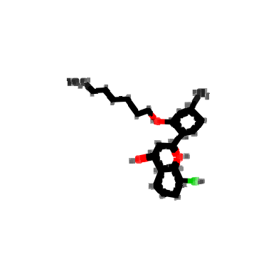 O=C(O)CCCCCCOc1cc(C(F)(F)F)ccc1-c1cc(=O)c2cccc(Cl)c2o1